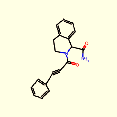 NC(=O)C1c2cc[c]cc2CCN1C(=O)C#Cc1ccccc1